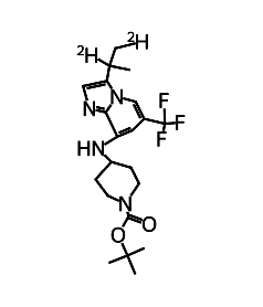 [2H]CC([2H])(C)c1cnc2c(NC3CCN(C(=O)OC(C)(C)C)CC3)cc(C(F)(F)F)cn12